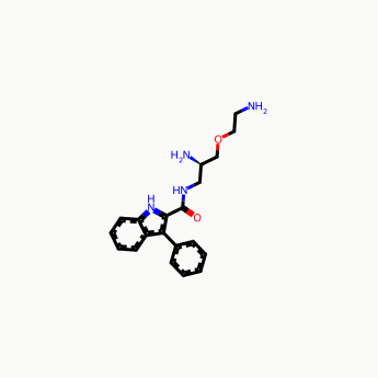 NCCOC[C@H](N)CNC(=O)c1[nH]c2ccccc2c1-c1ccccc1